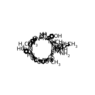 CCCC[C@H](NC(=O)[C@H](CN)NC(=O)[C@@H]1CSSC[C@H](NC(C)=O)C(=O)N2CCC[C@H]2C(=O)N2CCC[C@H]2C(=O)N[C@@H](Cc2ccc(O)cc2)C(=O)N[C@@H](CC(C)C)C(=O)N2CCC[C@H]2C(=O)N[C@@H](CN)C(=O)N[C@@H](Cc2ccc(O)cc2)C(=O)N[C@@H](CC(C)C)C(=O)N1)C(=O)O